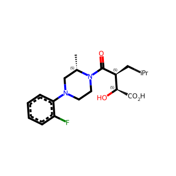 CC(C)C[C@H](C(=O)N1CCN(c2ccccc2F)C[C@@H]1C)[C@H](O)C(=O)O